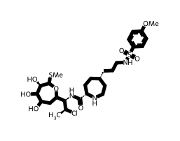 COc1ccc(S(=O)(=O)NCCC[C@@H]2CCN[C@H](C(=O)N[C@@H](C3CC(O)C(O)[C@@H](O)C(SC)O3)[C@H](C)Cl)CC2)cc1